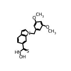 COc1cc(Cn2ccc3ccc(C(=S)NO)cc32)cc(OC)c1